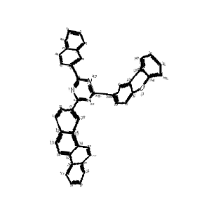 c1ccc2cc(-c3nc(-c4ccc5ccc6c7ccccc7ccc6c5c4)nc(-c4ccc5oc6ccccc6c5c4)n3)ccc2c1